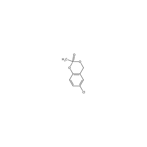 CP1(=O)OCc2cc(Cl)ccc2O1